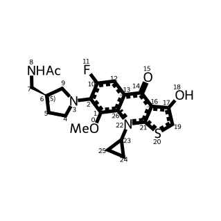 COc1c(N2CC[C@@H](CNC(C)=O)C2)c(F)cc2c(=O)c3c(O)csc3n(C3CC3)c12